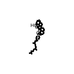 CC(C)=CCCC(C)=CCCC(C)=CCN1CCN(C(=O)C2(C)CC[C@]3(C)CC[C@]4(C)C(=CC(=O)C5[C@@]6(C)C(O)CCC(C)(C)C6CC[C@]54C)[C@@H]3C2)CC1